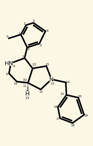 Cc1ccccc1C1NCC[C@@H]2CN(Cc3ccccc3)CC12